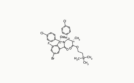 CO[C@@]1(c2ccc(Cl)cc2)c2c(F)cc(Br)cc2C(=O)N1[C@H](c1ccc(Cl)cc1)[C@H](C)C(=O)OCC[Si](C)(C)C